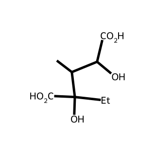 CCC(O)(C(=O)O)C(C)C(O)C(=O)O